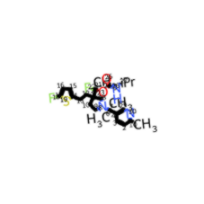 Cc1ccc(C(C)(C)N2CCC(CCc3ccc(F)s3)(C(C)(F)OC(=O)NC(C)C)C2)cn1